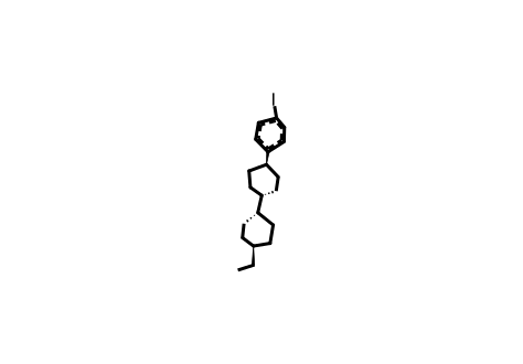 CC[C@H]1CC[C@H]([C@H]2CC[C@H](c3ccc(I)cc3)CC2)CC1